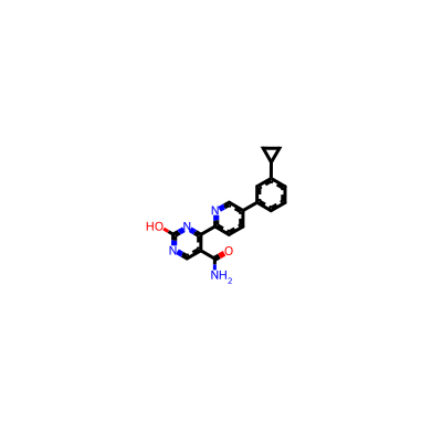 NC(=O)c1cnc(O)nc1-c1ccc(-c2cccc(C3CC3)c2)cn1